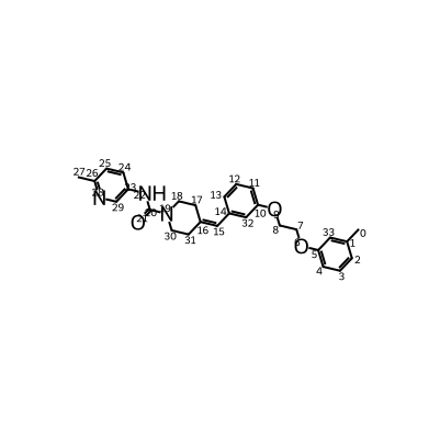 Cc1cccc(OCCOc2cccc(C=C3CCN(C(=O)Nc4ccc(C)nc4)CC3)c2)c1